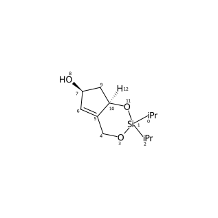 CC(C)[Si]1(C(C)C)OCC2=C[C@@H](O)C[C@H]2O1